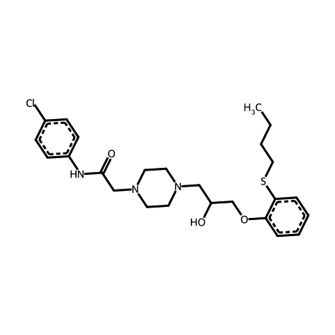 CCCCSc1ccccc1OCC(O)CN1CCN(CC(=O)Nc2ccc(Cl)cc2)CC1